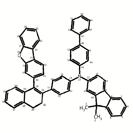 CC1(C)c2ccccc2-c2ccc(N(c3ccc(C4=C(c5ccc6c(c5)oc5ccccc56)c5ccccc5CC4)cc3)c3ccc(-c4ccccc4)cc3)cc21